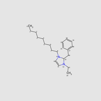 CCCCCCCCCN1C=CN(CC)C1Cc1ccccc1